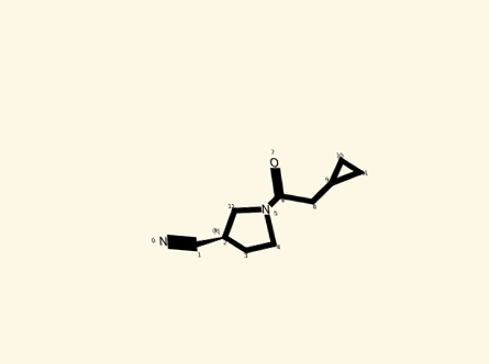 N#C[C@@H]1CCN(C(=O)CC2CC2)C1